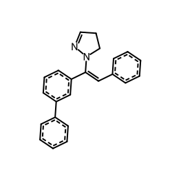 C1=NN(C(=Cc2ccccc2)c2cccc(-c3ccccc3)c2)CC1